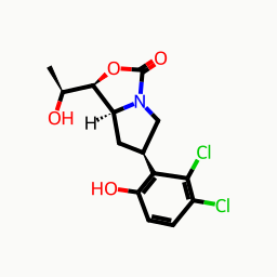 C[C@H](O)[C@H]1OC(=O)N2C[C@@H](c3c(O)ccc(Cl)c3Cl)C[C@@H]12